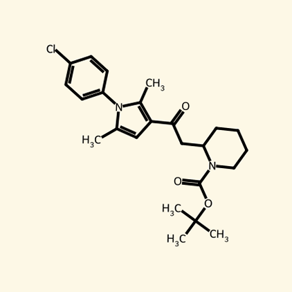 Cc1cc(C(=O)CC2CCCCN2C(=O)OC(C)(C)C)c(C)n1-c1ccc(Cl)cc1